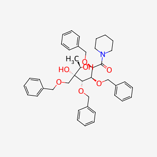 C[C@@H](O)[C@](O)(COCc1ccccc1)[C@@H](OCc1ccccc1)[C@H](OCc1ccccc1)[C@@H](OCc1ccccc1)C(=O)N1CCCCC1